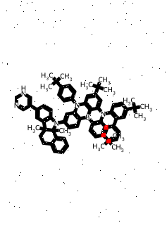 CC(C)(C)c1ccc(N2c3cc(N4c5ccc(C6=CNCN=C6)cc5C5(C)CCc6ccccc6C45C)ccc3B3c4ccc(C(C)(C)C)cc4N(c4ccc(C(C)(C)C)cc4-c4ccccc4)c4cc(C(C)(C)C)cc2c43)cc1